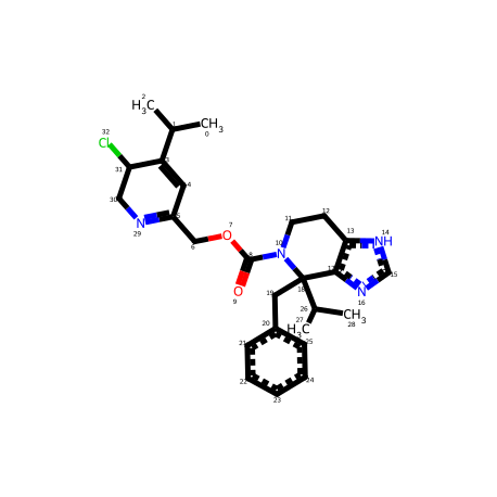 CC(C)C1=CC(COC(=O)N2CCc3[nH]cnc3C2(Cc2ccccc2)C(C)C)=NCC1Cl